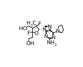 C[C@@]1(F)C(CO)[C@@](F)(CCO)O[C@H]1n1cnc2c(N3CCCC3)nc(N)nc21